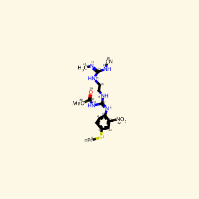 CCCSc1ccc(/N=C(/NCCN/C(=N\C)NC#N)NC(=O)OC)c([N+](=O)[O-])c1